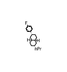 CCC[C@@H]1CC[C@@H]2C[C@H](c3ccc(F)cc3)CC[C@@H]2C1